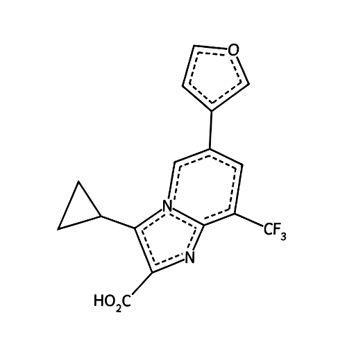 O=C(O)c1nc2c(C(F)(F)F)cc(-c3ccoc3)cn2c1C1CC1